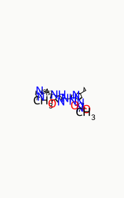 Cc1ccnc([C@H]2C[C@@H]2c2cc(=O)c3cnc(NCc4cn5cc(C6CC6)cc(N6CC(=O)N(C)C6=O)c5n4)cc3[nH]2)n1